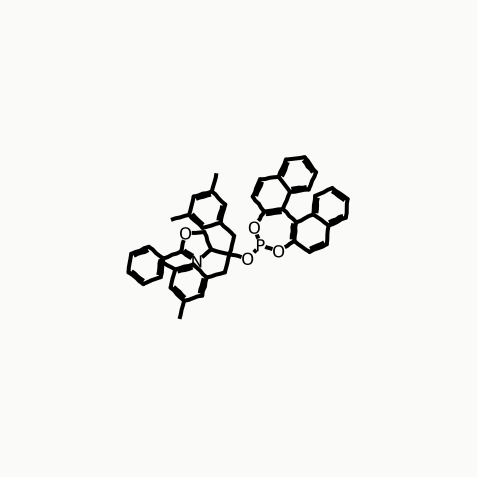 Cc1cc(C)cc(CC(Cc2cc(C)cc(C)c2)(Op2oc3ccc4ccccc4c3c3c(ccc4ccccc43)o2)C2COC(c3ccccc3)=N2)c1